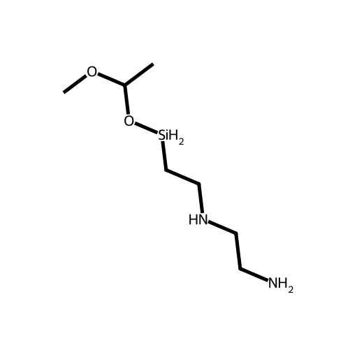 COC(C)O[SiH2]CCNCCN